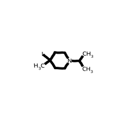 CC(C)N1CCC(C)(I)CC1